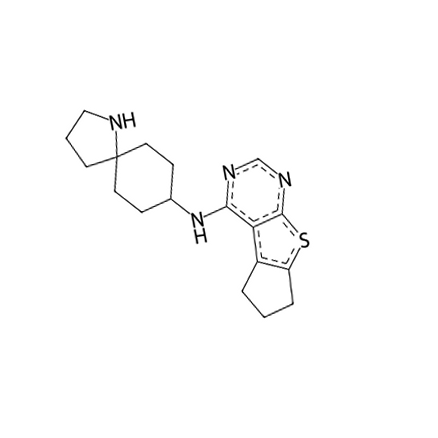 c1nc(NC2CCC3(CCCN3)CC2)c2c3c(sc2n1)CCC3